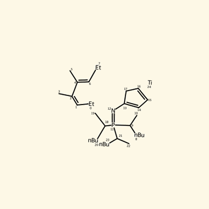 CCC=C(C)C(C)=CCC.CCCCC(C)P(=NC1=CC=CC1)(C(C)CCCC)C(C)CCCC.[Ti]